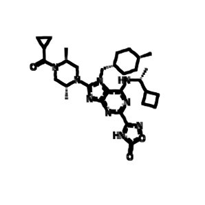 C[C@@H]1CN(C(=O)C2CC2)[C@@H](C)CN1c1nc2nc(-c3noc(=O)[nH]3)nc(N[C@H](C)C3CCC3)c2n1C[C@H]1CC[C@H](C)CC1